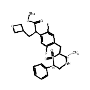 C[C@@H]1NC[C@@H](c2ccccc2)S(=O)(=O)C1Cc1cc(F)c(C(CC2COC2)C(=O)OC(C)(C)C)cc1F